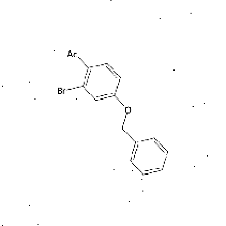 CC(=O)c1ccc(OCc2ccccc2)cc1Br